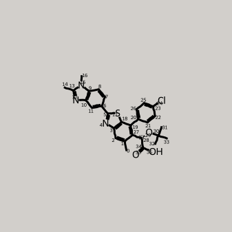 Cc1cc2nc(-c3ccc4c(c3)nc(C)n4C)sc2c(-c2ccc(Cl)cc2)c1[C@H](OC(C)(C)C)C(=O)O